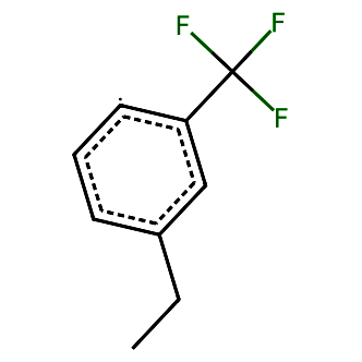 CCc1cc[c]c(C(F)(F)F)c1